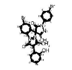 CC1=NN(c2ccc(Br)cc2)C(=O)C12c1cc(Br)ccc1-n1c(=O)c(-c3ccccc3O)c(C)n12